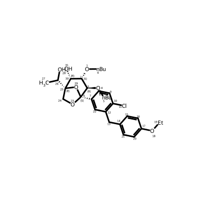 CCCCO[C@@H]1[C@@H](OCCCC)[C@@]2(c3ccc(Cl)c(Cc4ccc(OCC)cc4)c3)OC[C@](C(C)O)(O2)[C@@H]1O